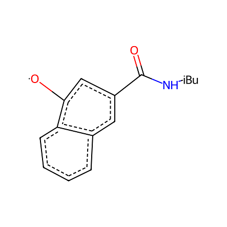 CCC(C)NC(=O)c1cc([O])c2ccccc2c1